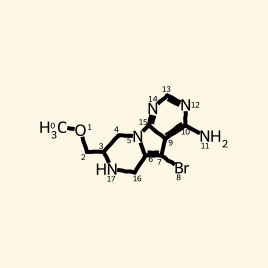 COCC1Cn2c(c(Br)c3c(N)ncnc32)CN1